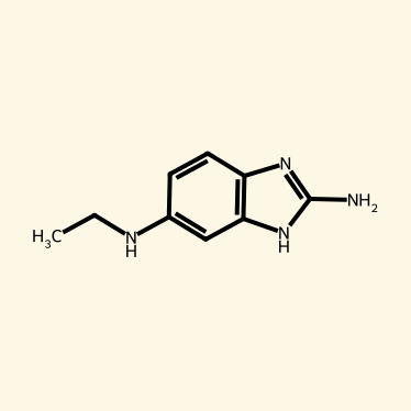 CCNc1ccc2nc(N)[nH]c2c1